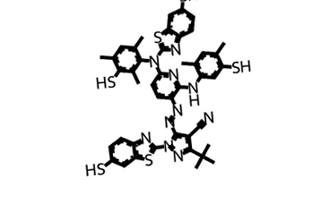 Cc1cc(C)c(Nc2nc(N(c3nc4ccc(S)cc4s3)c3c(C)cc(C)c(S)c3C)ccc2/N=N/c2c(C#N)c(C(C)(C)C)nn2-c2nc3ccc(S)cc3s2)cc1S